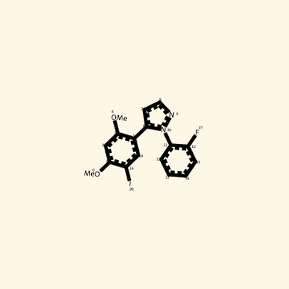 COc1cc(OC)c(-c2ccnn2-c2ccccc2F)cc1I